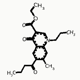 CCCC(=O)c1cc2c(=O)c(C(=O)OCC)cn(CCC)c2cc1C